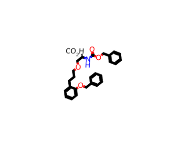 O=C(N[C@@H](COCCCc1ccccc1OCc1ccccc1)C(=O)O)OCc1ccccc1